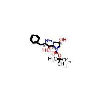 CC(C)(C)OC(=O)N1C[C@H](O)C[C@@H]1[C@@H](O)[C@@H](N)Cc1ccccc1